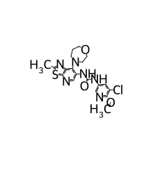 COc1ncc(NC(=O)Nc2cnc3sc(C)nc3c2N2CCCOCC2)cc1Cl